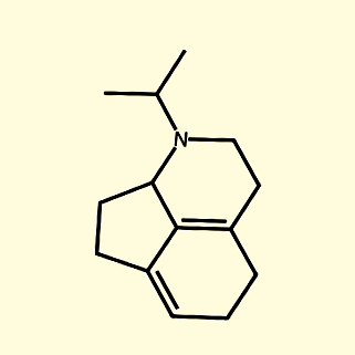 CC(C)N1CCC2=C3C(=CCC2)CCC31